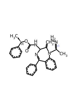 C=C1C(NC(=O)O[C@H](C)c2ccccc2)N=C(c2ccccc2)c2ccccc2N1/C(C)=N\N